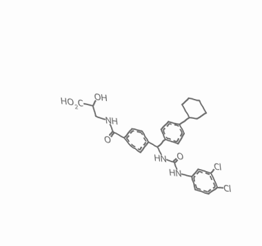 O=C(Nc1ccc(Cl)c(Cl)c1)NC(c1ccc(C(=O)NCC(O)C(=O)O)cc1)c1ccc(C2CCCCC2)cc1